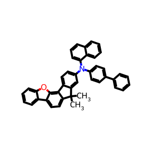 CC1(C)c2cc(N(c3ccc(-c4ccccc4)cc3)c3cccc4ccccc34)ccc2-c2c1ccc1c2oc2ccccc21